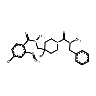 C=Nc1cc(Cl)ccc1C(=O)N(C)CC1(O)CCN(C(=O)N(C)Cc2ccccc2)CC1